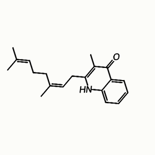 CC(C)=CCCC(C)=CCc1[nH]c2ccccc2c(=O)c1C